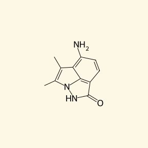 Cc1c(C)n2[nH]c(=O)c3ccc(N)c1c32